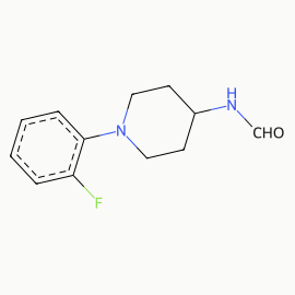 O=CNC1CCN(c2ccccc2F)CC1